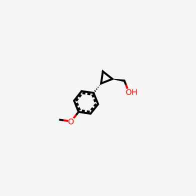 COc1ccc([C@@H]2C[C@H]2CO)cc1